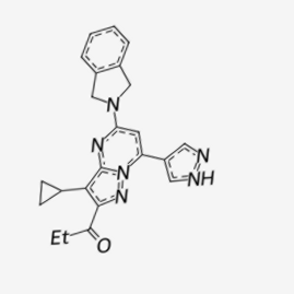 CCC(=O)c1nn2c(-c3cn[nH]c3)cc(N3Cc4ccccc4C3)nc2c1C1CC1